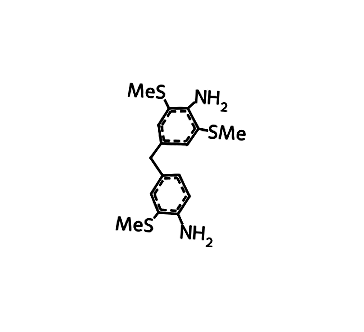 CSc1cc(Cc2cc(SC)c(N)c(SC)c2)ccc1N